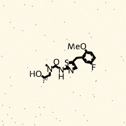 COc1ccc(F)cc1Cc1cnc(NC(=O)N(C)C[C@H](C)O)s1